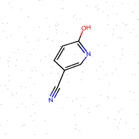 N#Cc1c[c]c(O)nc1